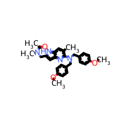 COc1ccc(CN(Cc2ccc(OC)cc2)c2nc3cc(CN(C)C(C)=O)[nH]c3cc2C)cc1